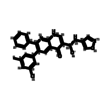 Cc1cc(-c2cc3c(=O)c([S+]([O-])Nc4cnoc4)c[nH]c3nc2-c2ccccc2)cc(Cl)n1